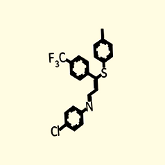 Cc1ccc(SC(=CC=Nc2ccc(Cl)cc2)c2ccc(C(F)(F)F)cc2)cc1